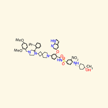 COc1ccc(CN2CCN(C3CC4(CCN(c5ccc(C(=O)NS(=O)(=O)c6ccc(NC[C@H]7CC[C@](C)(O)CC7)c([N+](=O)[O-])c6)c(Oc6cnc7[nH]ccc7c6)c5)CC4)C3)[C@H](c3ccccc3C(C)C)C2)c(OC)c1